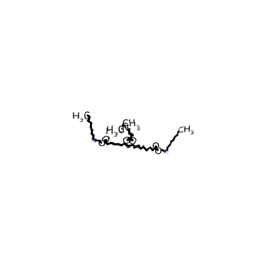 CCCCCCCC/C=C\COC(=O)CCCCCCCC(CCCCCCCC(=O)OC/C=C\CCCCCCCC)OC(=O)CCCN(C)C